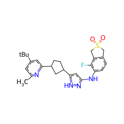 Cc1cc(C(C)(C)C)cc(C2CCC(c3cc(Nc4ccc5c(c4F)CS(=O)(=O)C5)n[nH]3)C2)n1